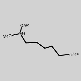 CCCCCCCCCCC[SiH](OC)OC